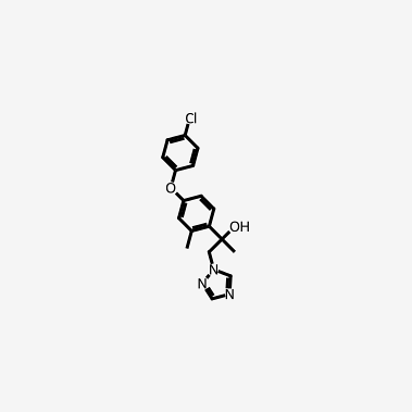 Cc1cc(Oc2ccc(Cl)cc2)ccc1C(C)(O)Cn1cncn1